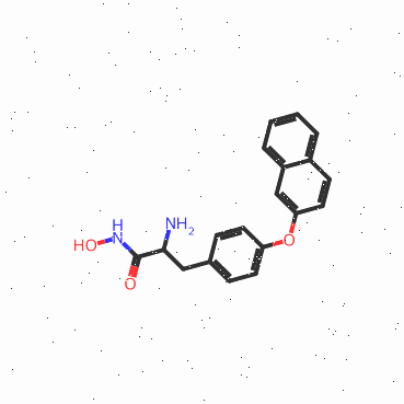 NC(Cc1ccc(Oc2ccc3ccccc3c2)cc1)C(=O)NO